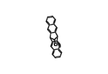 C=C1C2c3cc4ccccc4cc3C1c1cc3ccccc3cc12